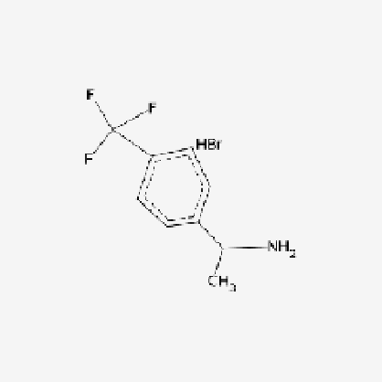 Br.CC(N)c1ccc(C(F)(F)F)cc1